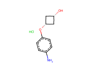 Cl.Nc1ccc(O[C@H]2C[C@@H](O)C2)cc1